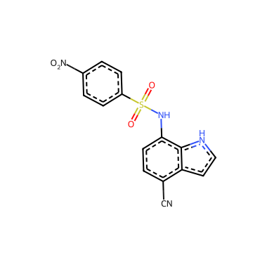 N#Cc1ccc(NS(=O)(=O)c2ccc([N+](=O)[O-])cc2)c2[nH]ccc12